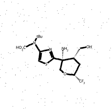 CC(C)(C)N(C(=O)O)c1csc([C@]2(N)CO[C@@H](C(F)(F)F)C[C@H]2CO)n1